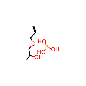 C=CCOCC(C)O.OP(O)O